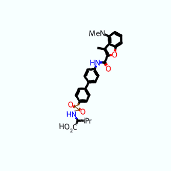 CNc1cccc2oc(C(=O)Nc3ccc(-c4ccc(S(=O)(=O)NC(C(=O)O)C(C)C)cc4)cc3)c(C)c12